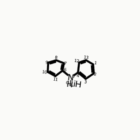 [LiH].c1ccc(Nc2ccccc2)cc1